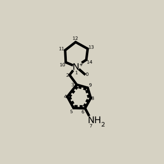 C[N+]1(Cc2ccc(N)cc2)CCCCC1